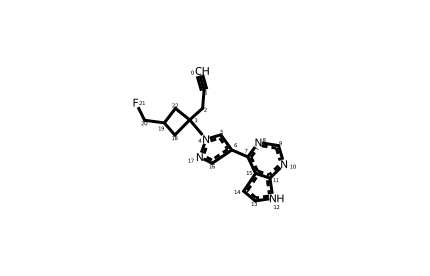 C#CCC1(n2cc(-c3ncnc4[nH]ccc34)cn2)CC(CF)C1